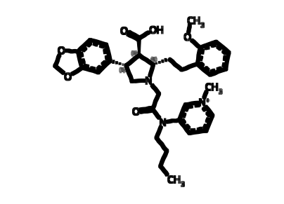 CCCCN(C(=O)CN1C[C@H](c2ccc3c(c2)OCO3)[C@@H](C(=O)O)[C@@H]1CCc1ccccc1OC)c1ccc[n+](C)c1